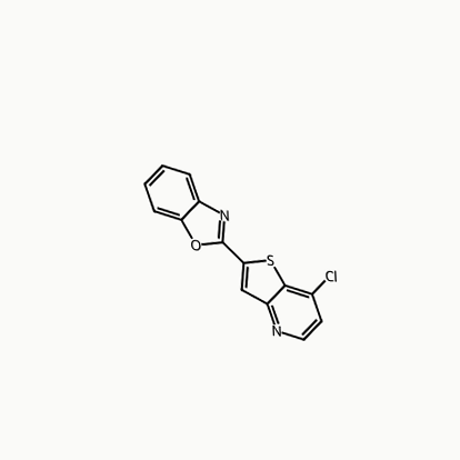 Clc1ccnc2cc(-c3nc4ccccc4o3)sc12